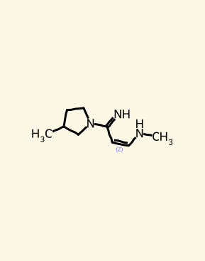 CN/C=C\C(=N)N1CCC(C)C1